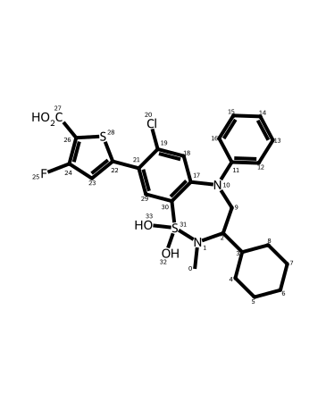 CN1C(C2CCCCC2)CN(c2ccccc2)c2cc(Cl)c(-c3cc(F)c(C(=O)O)s3)cc2S1(O)O